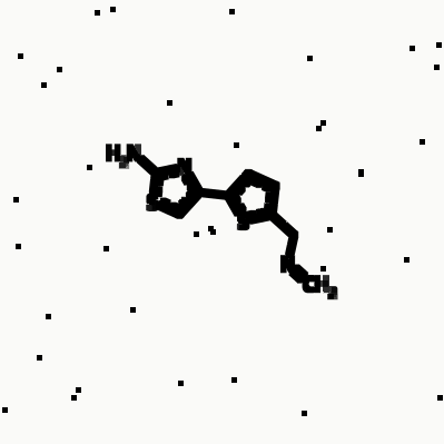 C=NCc1ccc(-c2csc(N)n2)s1